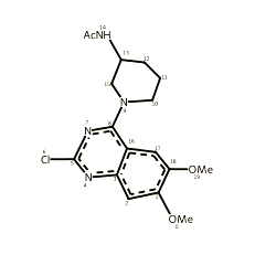 COc1cc2nc(Cl)nc(N3CCCC(NC(C)=O)C3)c2cc1OC